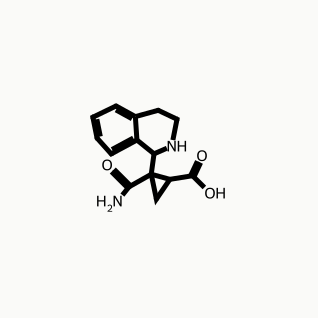 NC(=O)C1(C2NCCc3ccccc32)CC1C(=O)O